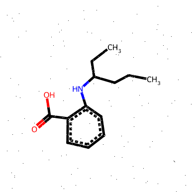 CCCC(CC)Nc1ccccc1C(=O)O